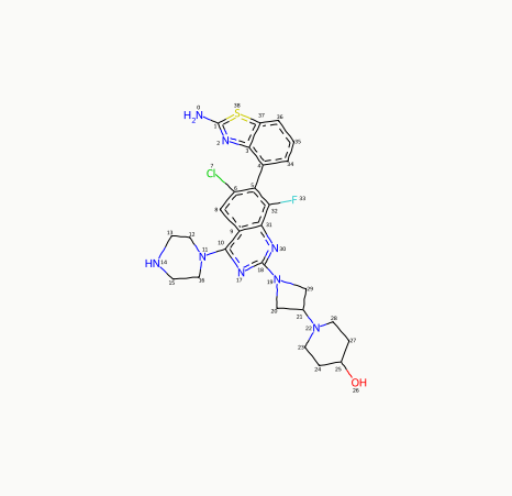 Nc1nc2c(-c3c(Cl)cc4c(N5CCNCC5)nc(N5CC(N6CCC(O)CC6)C5)nc4c3F)cccc2s1